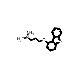 CN(C)CCCOc1cccc2oc3ccccc3c12